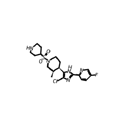 C[C@H]1CN(S(=O)(=O)C2CCNCC2)CC[C@H]1c1[nH]c(-c2ccc(F)cn2)nc1Cl